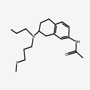 CCCN(CCCSC)C1CCc2ccc(NC(C)=O)cc2C1